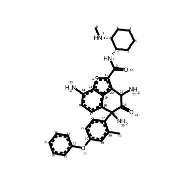 CN[C@@H]1CCCC[C@@H]1NC(=O)c1sc2c(N)ccc3c2c1C(N)C(=O)C3(N)c1ccc(Oc2ccccc2)cc1C